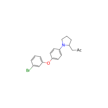 CC(=O)CC1CCCN1c1ccc(Oc2cccc(Br)c2)cc1